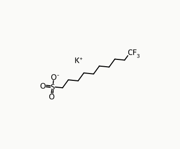 O=S(=O)([O-])CCCCCCCCCC(F)(F)F.[K+]